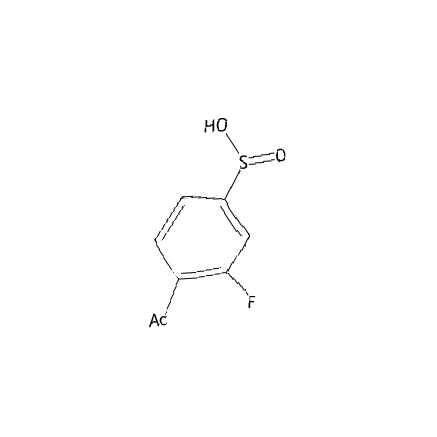 CC(=O)c1ccc(S(=O)O)cc1F